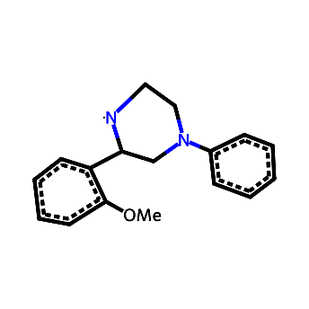 COc1ccccc1C1CN(c2ccccc2)CC[N]1